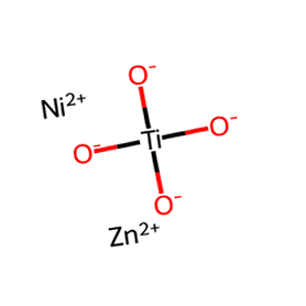 [Ni+2].[O-][Ti]([O-])([O-])[O-].[Zn+2]